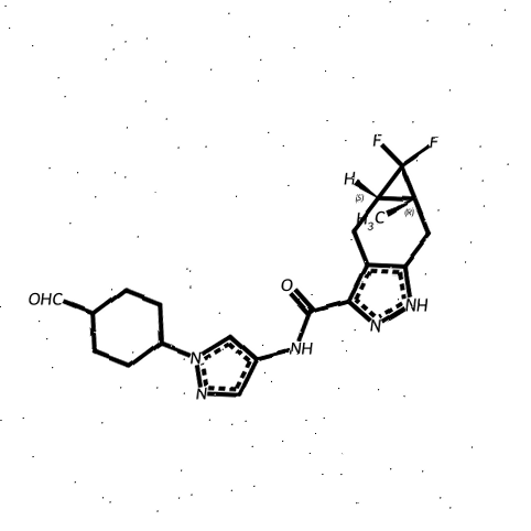 C[C@@]12Cc3[nH]nc(C(=O)Nc4cnn(C5CCC(C=O)CC5)c4)c3C[C@@H]1C2(F)F